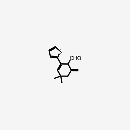 C=C1CC(C)(C)C=C(c2cccs2)C1C=O